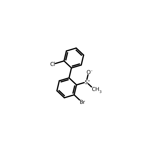 C[S+]([O-])c1c(Br)cccc1-c1ccccc1Cl